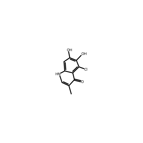 Cc1c[nH]c2cc(O)c(O)c(Cl)c2c1=O